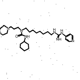 N=C(NCCCCCCCCN(CCCN1CCOCC1)C(=O)NC1CCCCC1)Nc1ccncc1